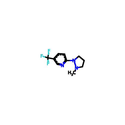 CN1CCCN1c1ccc(C(F)(F)F)cn1